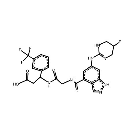 O=C(O)CC(NC(=O)CNC(=O)c1cc(NC2=NCC(F)CN2)cc2[nH]ncc12)c1cccc(C(F)(F)F)c1